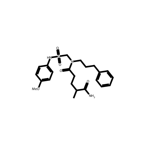 COc1ccc(NS(=O)(=O)CN(CCCc2ccccc2)C(=O)[CH]CC(C)C(N)=O)cc1